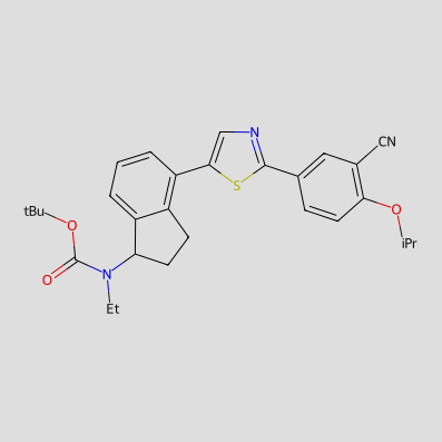 CCN(C(=O)OC(C)(C)C)C1CCc2c(-c3cnc(-c4ccc(OC(C)C)c(C#N)c4)s3)cccc21